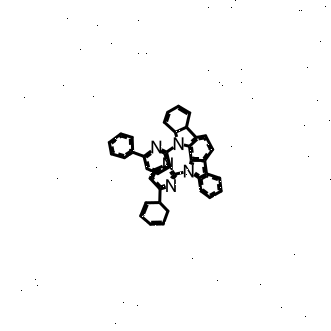 C1=CCC(c2ccnc(-n3c4ccccc4c4ccc5c(c43)N(c3cccc(-c4ccccc4)n3)C3C=CC=CC53)n2)C=C1